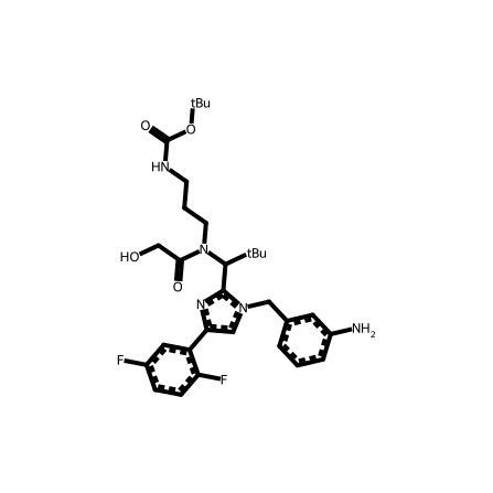 CC(C)(C)OC(=O)NCCCN(C(=O)CO)C(c1nc(-c2cc(F)ccc2F)cn1Cc1cccc(N)c1)C(C)(C)C